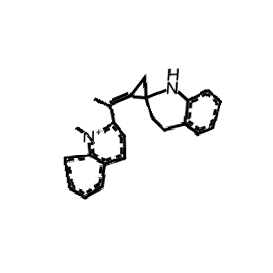 CC(=C1CC12CCc1ccccc1N2)c1ccc2ccccc2[n+]1C